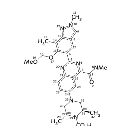 CNC(=O)c1nc(-c2cc3cn(C)nc3c(C)c2OCOC)nc2ccc(N3C[C@@H](C)N(C(=O)O)[C@H](C)C3)cc12